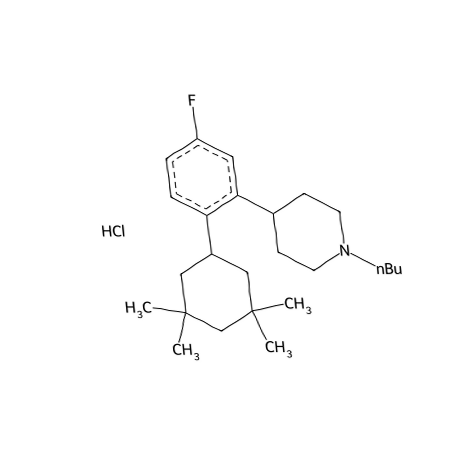 CCCCN1CCC(c2cc(F)ccc2C2CC(C)(C)CC(C)(C)C2)CC1.Cl